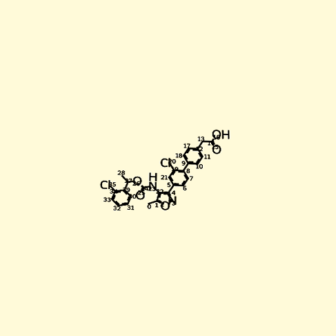 Cc1onc(-c2ccc(-c3ccc(CC(=O)O)cc3)c(Cl)c2)c1NC(=O)OC(C)c1ccccc1Cl